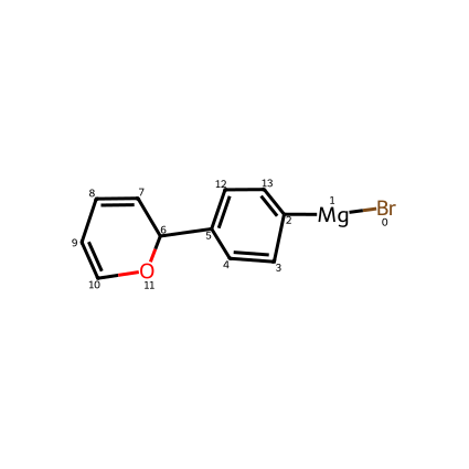 [Br][Mg][c]1ccc(C2C=CC=CO2)cc1